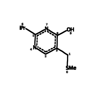 CSCc1cnc(C(C)C)nc1O